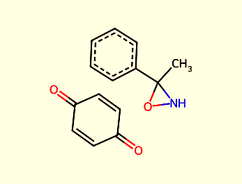 CC1(c2ccccc2)NO1.O=C1C=CC(=O)C=C1